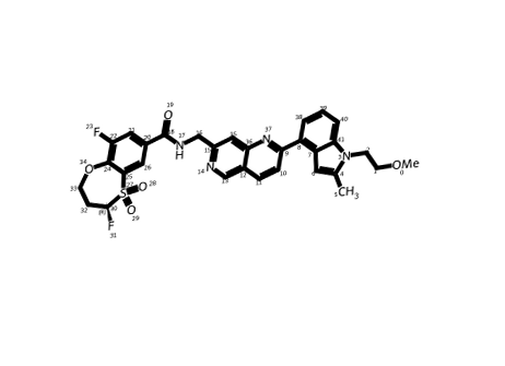 COCCn1c(C)cc2c(-c3ccc4cnc(CNC(=O)c5cc(F)c6c(c5)S(=O)(=O)[C@@H](F)CCO6)cc4n3)cccc21